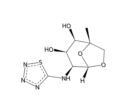 C[C@@]12CO[C@@H](O1)[C@@H](Nc1nnns1)[C@@H](O)[C@H]2O